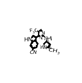 C[C@@H]1C[C@H](Nc2ncc(C(F)(F)F)c(-c3c[nH]c4cc(C#N)ccc34)n2)CN1